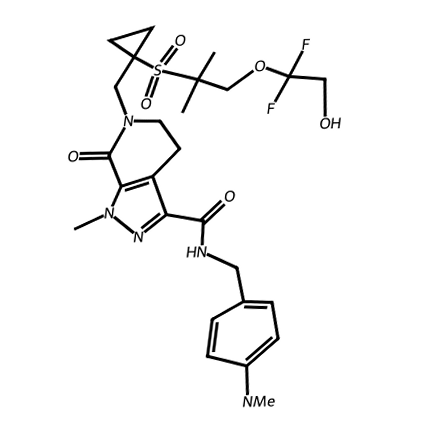 CNc1ccc(CNC(=O)c2nn(C)c3c2CCN(CC2(S(=O)(=O)C(C)(C)COC(F)(F)CO)CC2)C3=O)cc1